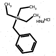 CC[N+](CC)(CC)Cc1ccccc1.Cl.[NaH]